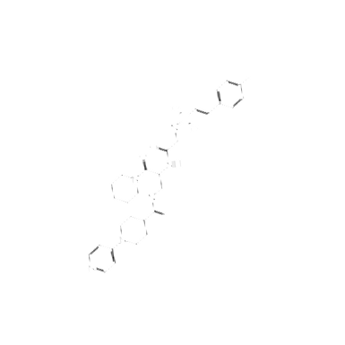 O=C(CNS(=O)(=O)C=Cc1ccc(Cl)cc1)NC(CNC(=O)C1CCN(c2ccncc2)CC1)C(=O)N1CCCCC1